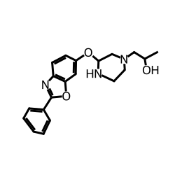 CC(O)CN1CCNC(Oc2ccc3nc(-c4ccccc4)oc3c2)C1